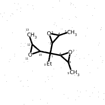 CCC(C1OC1C)(C1OC1C)C1OC1C